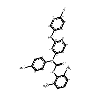 COc1ccc(N(C(=O)Oc2c(C)cccc2C)c2ccnc(Nc3ccc(Cl)nc3)n2)cc1